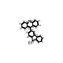 CCn1c2ccccc2c2cc(-c3c4ccccc4nc4ccccc34)ccc21